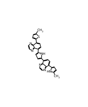 Cc1ccc(-c2ccc(-c3ccc(-c4ccc(-c5ccc(C)s5)c5nccnc45)[nH]3)c3nccnc23)[nH]1